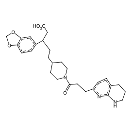 O=C(O)CC(CCC1CCN(C(=O)CCc2ccc3c(n2)NCCC3)CC1)c1ccc2c(c1)OCO2